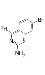 [2H]c1nc(N)cc2cc(Br)ccc12